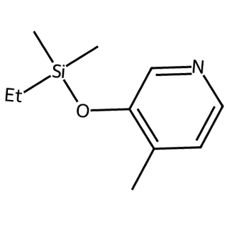 CC[Si](C)(C)Oc1cnccc1C